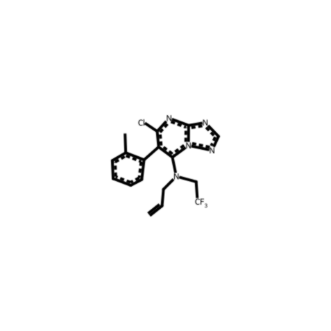 C=CCN(CC(F)(F)F)c1c(-c2ccccc2C)c(Cl)nc2ncnn12